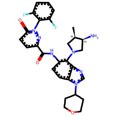 C[C@@H]1CN(c2c(NC(=O)c3ccc(=O)n(-c4c(F)cccc4F)n3)ccc3c2ncn3C2CCOCC2)C[C@@H]1N